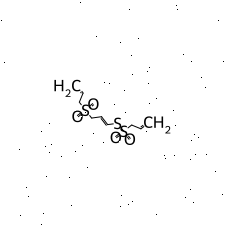 C=CCS(=O)(=O)CC=CSS(=O)(=O)CC=C